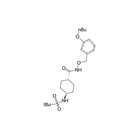 CCCCOc1cccc(CONC(=O)[C@H]2CC[C@H](NS(=O)(=O)C(C)(C)C)CC2)c1